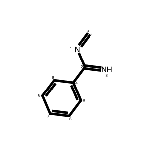 [C]=NC(=N)c1ccccc1